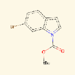 CC(C)(C)OC(=O)n1ccc2ccc(Br)cc21